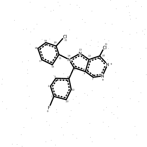 Fc1ccc(-c2c3cnnc(Cl)c3nn2-c2ccccc2Cl)cc1